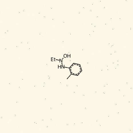 CCN(O)Nc1ccccc1C